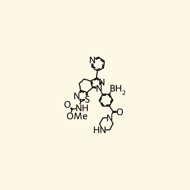 Bc1cc(C(=O)N2CCNCC2)ccc1-n1nc(-c2cccnc2)c2c1-c1sc(NC(=O)OC)nc1CC2